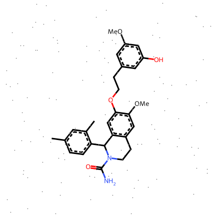 COc1cc(O)cc(CCOc2cc3c(cc2OC)CCN(C(N)=O)C3c2ccc(C)cc2C)c1